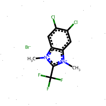 Cn1c(C(F)(F)F)[n+](C)c2cc(Cl)c(Cl)cc21.[Br-]